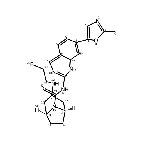 Cc1ncc(-c2ccc3cnc(NC(=O)N4[C@@H]5CC[C@H]4CC(NCCF)C5)nc3c2)o1